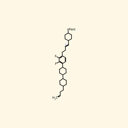 C=CCCC1CCC(C2CCC(c3ccc(CC/C=C/C4CCC(CCCCC)CC4)c(F)c3F)CC2)CC1